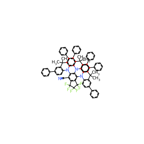 CC1(C)c2cc(-c3ccccc3)ccc2N(c2c(C#N)c3c(c(N4c5ccc(-c6ccccc6)cc5C(C)(C)c5cc(-c6ccccc6)ccc54)c2N2c4ccc(-c5ccccc5)cc4C(C)(C)c4cc(-c5ccccc5)ccc42)C(F)(F)C(F)(F)C3(F)F)c2ccc(-c3ccccc3)cc21